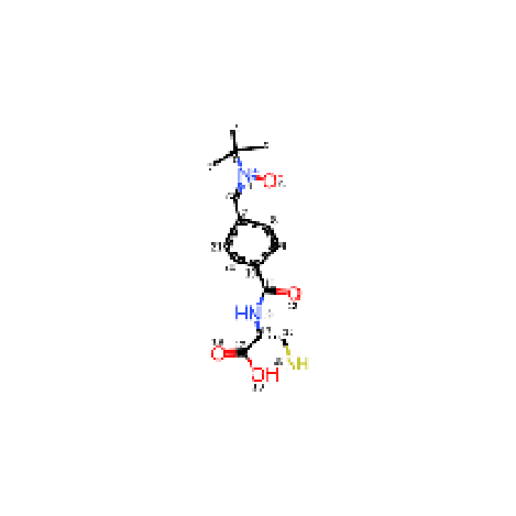 CC(C)(C)[N+]([O-])=Cc1ccc(C(=O)N[C@H](CS)C(=O)O)cc1